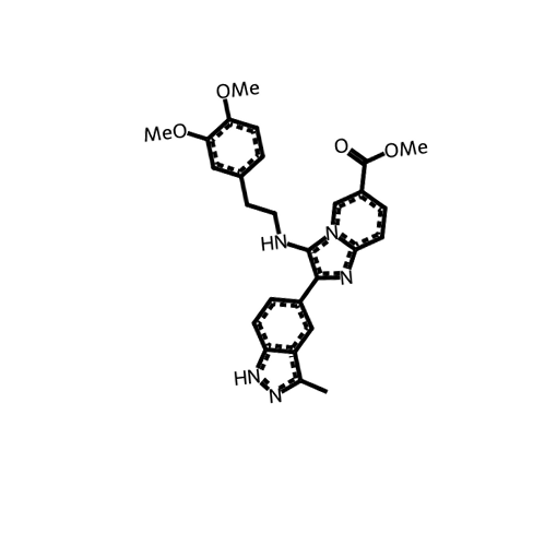 COC(=O)c1ccc2nc(-c3ccc4[nH]nc(C)c4c3)c(NCCc3ccc(OC)c(OC)c3)n2c1